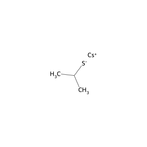 CC(C)[S-].[Cs+]